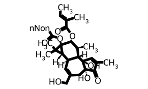 C/C=C(\C)C(=O)O[C@@H]1[C@@H](C)[C@H]2[C@@H](C=C(CO)C[C@]3(O)C(=O)C(C)=C[C@@]23O)[C@@H]2C(C)(C)[C@]12OC(=O)CCCCCCCCC